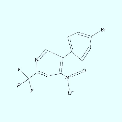 O=[N+]([O-])c1cc(C(F)(F)F)ncc1-c1ccc(Br)cc1